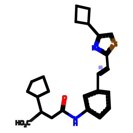 O=C(CC(C(=O)O)C1CCCC1)Nc1cccc(/C=C/c2nc(C3CCC3)cs2)c1